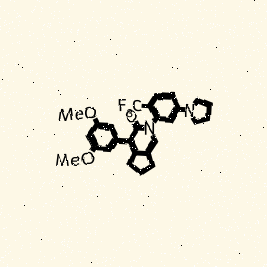 COc1cc(OC)cc(-c2c3c(cn(-c4cc(N5CCCC5)ccc4C(F)(F)F)c2=O)CCC3)c1